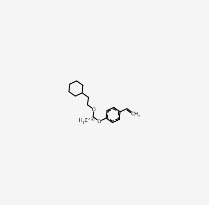 C=Cc1ccc(O[C@H](C)OCCC2CCCCC2)cc1